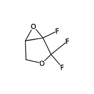 FC1(F)OCC2OC21F